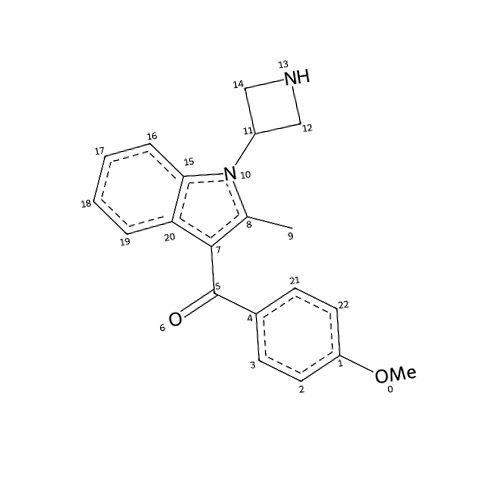 COc1ccc(C(=O)c2c(C)n(C3CNC3)c3ccccc23)cc1